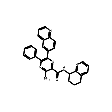 Nc1nc(-c2ccccc2)c(-c2ccc3ncccc3c2)nc1C(=O)NC1CCCc2cccnc21